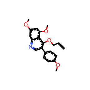 C=CCOc1c(-c2ccc(OC)cc2)cnc2cc(OC)cc(OC)c12